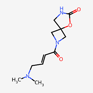 CN(C)CC=CC(=O)N1CC2(CNC(=O)O2)C1